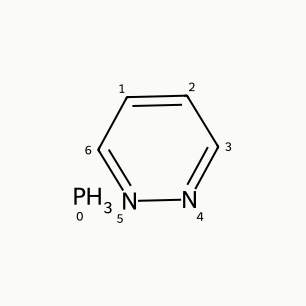 P.c1ccnnc1